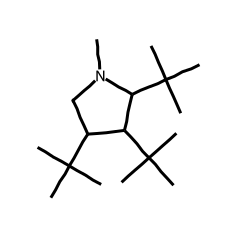 CN1CC(C(C)(C)C)C(C(C)(C)C)C1C(C)(C)C